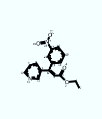 CCOC(=O)C=C(c1cccnc1)c1cccc([N+](=O)[O-])c1